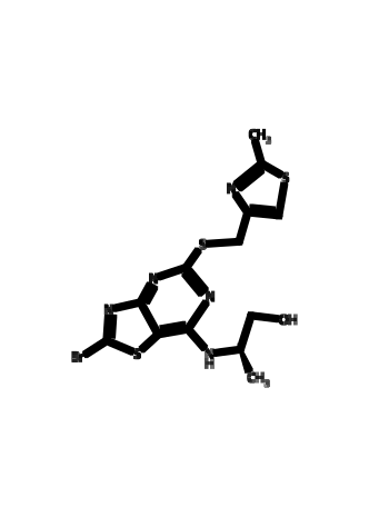 Cc1nc(CSc2nc(N[C@H](C)CO)c3sc(Br)nc3n2)cs1